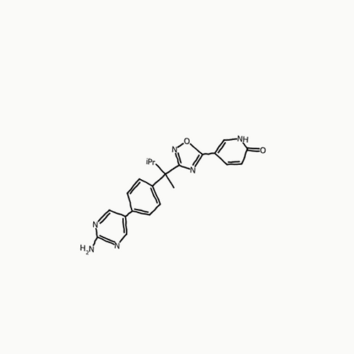 CC(C)C(C)(c1ccc(-c2cnc(N)nc2)cc1)c1noc(-c2ccc(=O)[nH]c2)n1